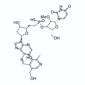 COC1C(OP(=O)(S)CC[C@H]2O[C@@H](n3cnc4c(/N=C\c5c(CO)cnc(C)c5O)ncnc43)CC2O)[C@@H](CO)O[C@H]1n1ccc(=O)[nH]c1=O